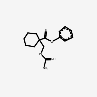 N=C(N)NCC1(C(=O)Oc2ccccc2)CCCCC1